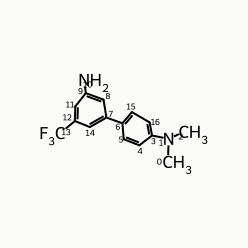 CN(C)c1ccc(-c2cc(N)cc(C(F)(F)F)c2)cc1